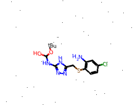 CC(C)(C)OC(O)Nc1nnc(CSc2ccc(Cl)cc2N)[nH]1